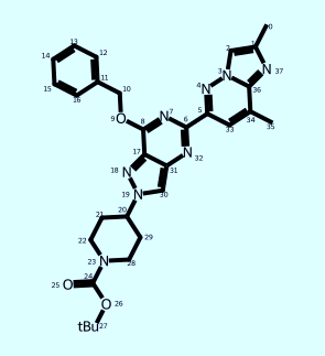 Cc1cn2nc(-c3nc(OCc4ccccc4)c4nn(C5CCN(C(=O)OC(C)(C)C)CC5)cc4n3)cc(C)c2n1